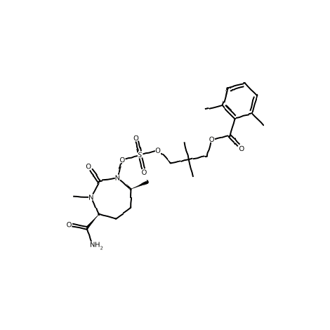 Cc1cccc(C)c1C(=O)OCC(C)(C)COS(=O)(=O)ON1C(=O)N(C)[C@H](C(N)=O)CC[C@@H]1C